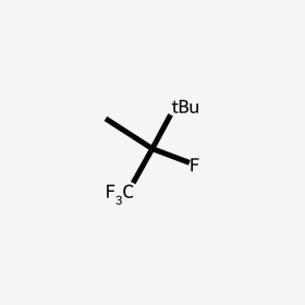 CC(C)(C)C(C)(F)C(F)(F)F